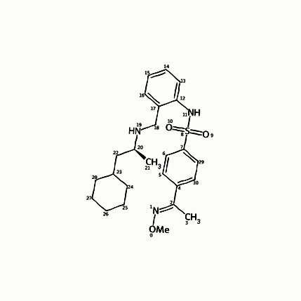 CO/N=C(\C)c1ccc(S(=O)(=O)Nc2ccccc2CN[C@@H](C)CC2CCCCC2)cc1